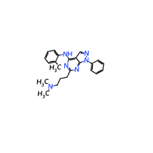 Cc1ccccc1Nc1nc(CCCN(C)C)nc2c1cnn2-c1ccccc1